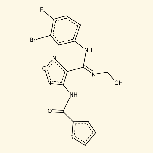 O=C(Nc1nonc1/C(=N/CO)Nc1ccc(F)c(Br)c1)c1cccs1